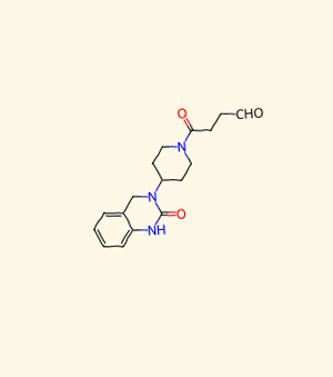 O=CCCC(=O)N1CCC(N2Cc3ccccc3NC2=O)CC1